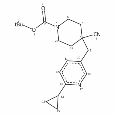 CC(C)(C)OC(=O)N1CCC(C#N)(Cc2ccc(C3CC3)nc2)CC1